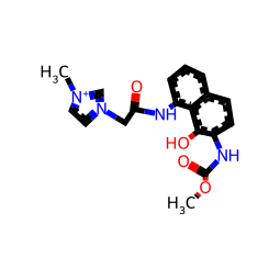 COC(=O)Nc1ccc2cccc(NC(=O)Cn3cc[n+](C)c3)c2c1O